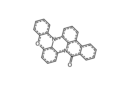 O=c1c2ccccc2c2cccc3c2n1c1cccc2oc4ccccc4n3-c21